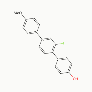 COc1ccc(-c2ccc(-c3ccc(O)cc3)c(F)c2)cc1